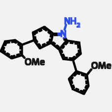 COc1ccccc1-c1ccc2c(c1)c1cc(-c3ccccc3OC)ccc1n2N